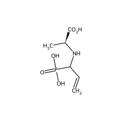 C=CC(N[C@@H](C)C(=O)O)P(=O)(O)O